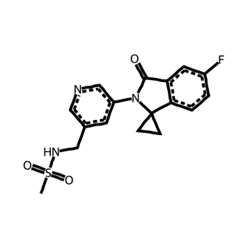 CS(=O)(=O)NCc1cncc(N2C(=O)c3cc(F)ccc3C23CC3)c1